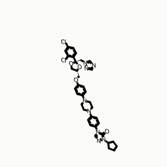 O=c1n(-c2ccc(N3CCN(c4ccc(OC[C@@H]5CO[C@@](Cn6cncn6)(c6ccc(Cl)cc6Cl)O5)cc4)CC3)cc2)cnn1C1CCCC1